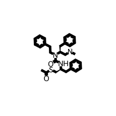 CC(=O)SC[C@H](Cc1ccccc1)NC(=O)N(CCc1ccccc1)[C@@H](Cc1ccccc1)CN(C)C